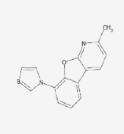 Cc1ccc2c(n1)oc1c(-n3cbcc3)cccc12